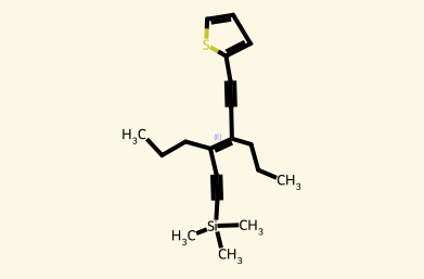 CCC/C(C#Cc1cccs1)=C(\C#C[Si](C)(C)C)CCC